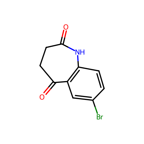 O=C1CCC(=O)c2cc(Br)ccc2N1